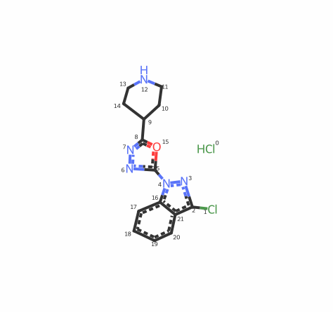 Cl.Clc1nn(-c2nnc(C3CCNCC3)o2)c2ccccc12